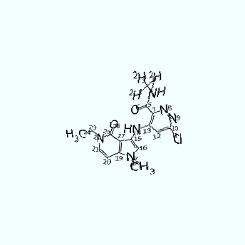 [2H]C([2H])([2H])NC(=O)c1nnc(Cl)cc1Nc1cn(C)c2ccn(CC)c(=O)c12